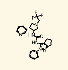 O=C(Nc1c2c(nn1-c1ccccc1)CCC2)N[C@@H]1CN(CC(F)(F)F)C[C@H]1c1cccnc1